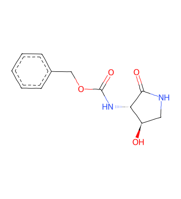 O=C(N[C@@H]1C(=O)NC[C@H]1O)OCc1ccccc1